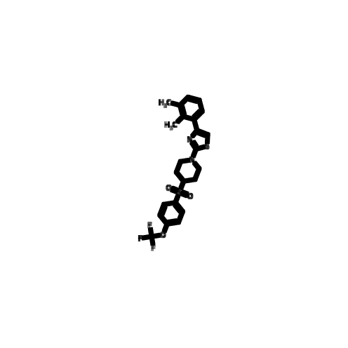 Cc1cccc(-c2csc(N3CCC(S(=O)(=O)c4ccc(OC(F)(F)F)cc4)CC3)n2)c1C